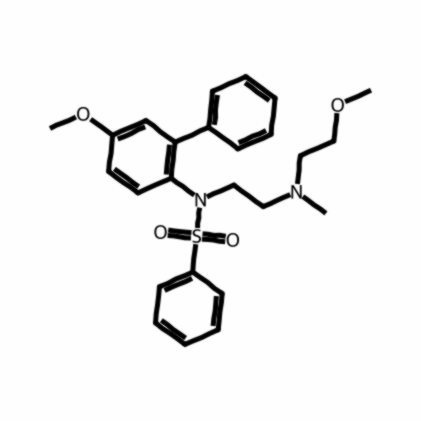 COCCN(C)CCN(c1ccc(OC)cc1-c1ccccc1)S(=O)(=O)c1ccccc1